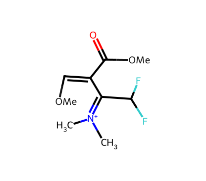 CO/C=C(/C(=O)OC)C(C(F)F)=[N+](C)C